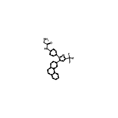 NCC(=O)Nc1ccc(-n2nc(C(F)(F)F)cc2-c2ccc3ccc4ccccc4c3c2)cc1